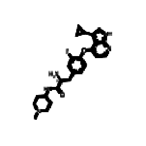 CN1CCC(NC(=O)[C@@H](N)Cc2ccc(Oc3ccnc4[nH]cc(C5CC5)c34)c(F)c2)CC1